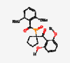 CCOc1cccc(OCC)c1C(=O)C1([P](=O)C(=O)c2c(OC)cccc2OC)CCCC1